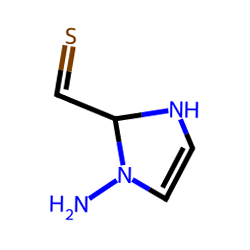 NN1C=CNC1C=S